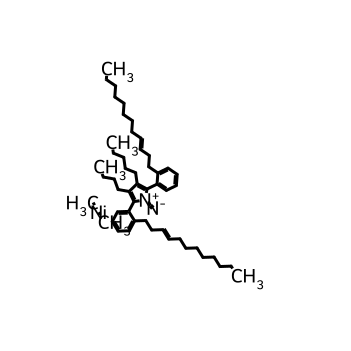 CCCCCCCCC=CCCc1ccccc1C1=C(CCCC)C(CCCCC)=C(c2ccccc2CCC=CCCCCCCCC)[N+]1=[N-].[CH3][Ni][CH3]